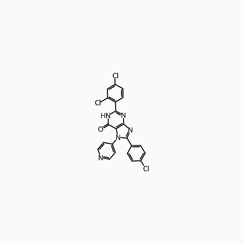 O=c1[nH]c(-c2ccc(Cl)cc2Cl)nc2nc(-c3ccc(Cl)cc3)n(-c3ccncc3)c12